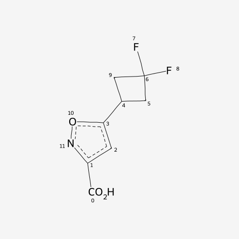 O=C(O)c1cc(C2CC(F)(F)C2)on1